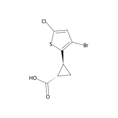 O=C(O)[C@H]1C[C@@H]1c1sc(Cl)cc1Br